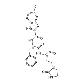 O=C[C@H](CC[C@@H]1CCNC1=O)NC(=O)[C@H](Cc1ccccc1)NC(=O)c1cc2cc(Cl)ccc2[nH]1